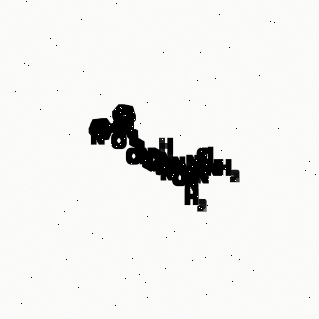 Nc1nc(N)c(C(=O)/N=C2\NCC3(CCN(C(=O)CCCN4C(=O)C(c5cccnc5)c5ccccc54)CC3)N2)nc1Cl